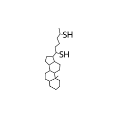 CC(S)CCCC(S)C1CCC2C1CCC1C2CCC2CCCCC21C